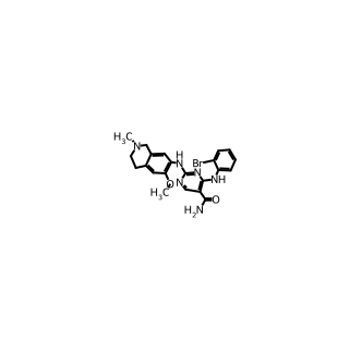 COc1cc2c(cc1Nc1ncc(C(N)=O)c(Nc3ccccc3Br)n1)CN(C)CC2